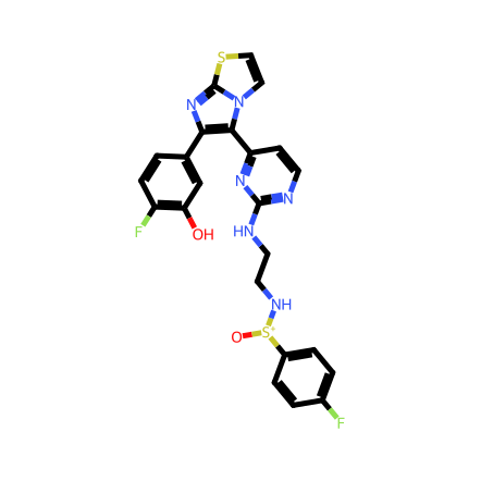 [O-][S+](NCCNc1nccc(-c2c(-c3ccc(F)c(O)c3)nc3sccn23)n1)c1ccc(F)cc1